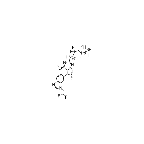 [2H]C([2H])([2H])N1CC[C@@H](Nc2nc(OC)c3c(-c4ccc5ncn(CC(F)F)c5c4)c(F)cn3n2)C(F)(F)C1